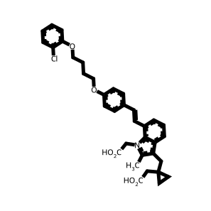 Cc1c(CC2(CC(=O)O)CC2)c2cccc(/C=C/c3ccc(OCCCCOc4ccccc4Cl)cc3)c2n1CC(=O)O